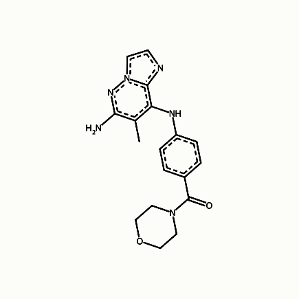 Cc1c(N)nn2ccnc2c1Nc1ccc(C(=O)N2CCOCC2)cc1